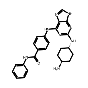 N[C@H]1CC[C@H](Nc2nc(Nc3ccc(C(=O)Nc4ccccc4)cc3)c3nc[nH]c3n2)CC1